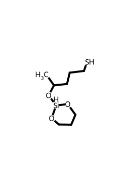 CC(CCCS)O[SiH]1OCCCO1